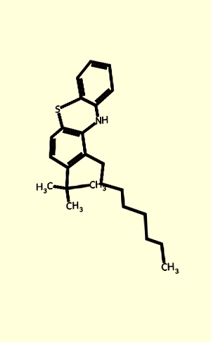 CCCCCCCCc1c(C(C)(C)C)ccc2c1Nc1ccccc1S2